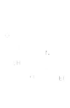 CCC(=O)N1CCCC1C(=O)S